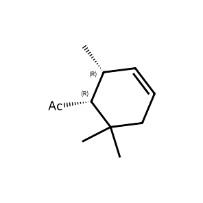 CC(=O)[C@@H]1[C@H](C)C=CCC1(C)C